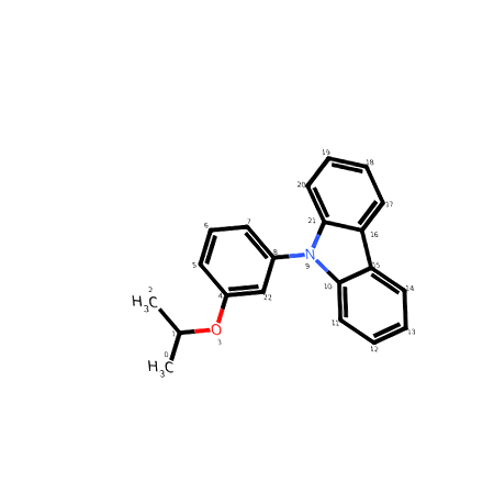 CC(C)Oc1cccc(-n2c3ccccc3c3ccccc32)c1